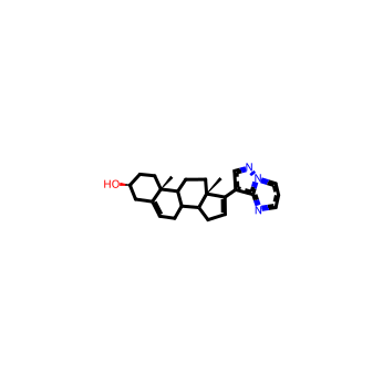 C[C@]12CC[C@H](O)CC1=CCC1C2CC[C@]2(C)C(c3cnn4cccnc34)=CCC12